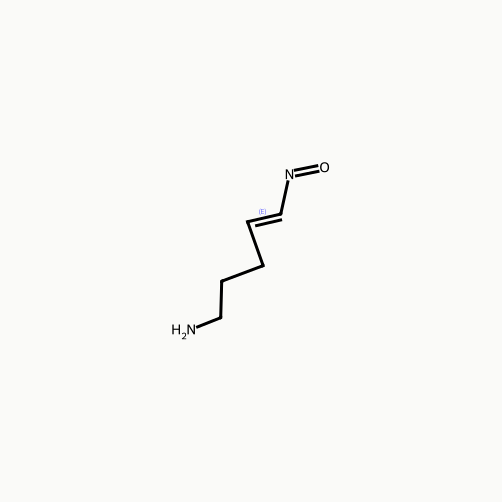 NCCC/C=C/N=O